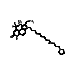 CCc1c(C)c2c3c(C(F)(F)F)cc(=O)[nH]c3ccc2n1CCCCCCCCCNCCCN1CCCC1